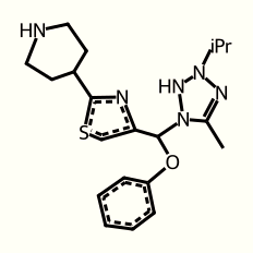 CC1=NN(C(C)C)NN1C(Oc1ccccc1)c1csc(C2CCNCC2)n1